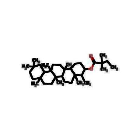 CCC(C)(C)C(=O)OC1CCC2C(C)(CCC3C2(C)CCC2(C)C4CC(C)(C)CCC4(C)CCC32C)C1C